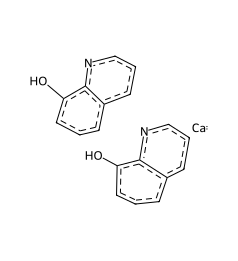 Oc1cccc2cccnc12.Oc1cccc2cccnc12.[Ca]